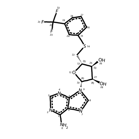 Nc1ncnc2c1ncn2[C@@H]1O[C@H](CSc2cccc(C(F)(F)F)c2)[C@@H](O)[C@H]1O